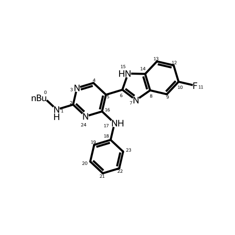 CCCCNc1ncc(-c2nc3cc(F)ccc3[nH]2)c(Nc2ccccc2)n1